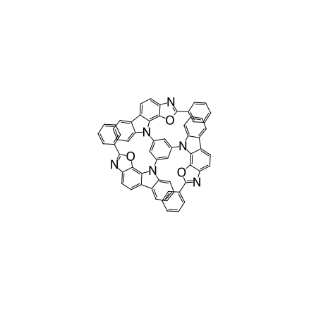 c1ccc(-c2nc3ccc4c5ccccc5n(-c5cc(-n6c7ccccc7c7ccc8nc(-c9ccccc9)oc8c76)cc(-n6c7ccccc7c7ccc8nc(-c9ccccc9)oc8c76)c5)c4c3o2)cc1